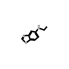 CCNc1ccc2scnc2c1